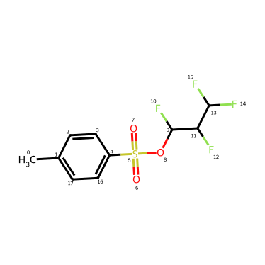 Cc1ccc(S(=O)(=O)OC(F)C(F)C(F)F)cc1